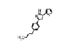 CCCCc1ccc(C2=NNC(c3cccs3)C2)cc1